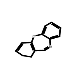 C1=CC2=C(C=Nc3ccccc3O2)CC1